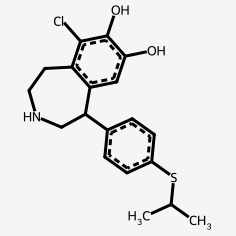 CC(C)Sc1ccc(C2CNCCc3c2cc(O)c(O)c3Cl)cc1